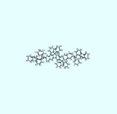 c1ccc(N(c2ccc3cc4c(cc3c2)C(c2ccccc2)(c2ccccc2)c2cc3c(cc2-4)C(c2ccccc2)(c2ccccc2)c2cc4cc(N(c5ccccc5)c5cccc6c5oc5ccccc56)ccc4cc2-3)c2cccc3c2oc2ccccc23)cc1